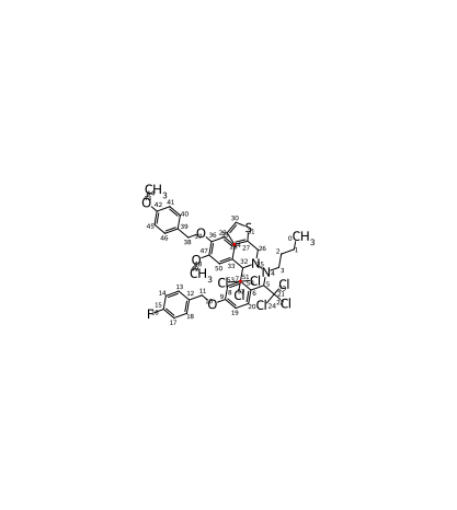 CCCCN(C(c1ccc(OCc2ccc(F)cc2)cc1)C(Cl)(Cl)Cl)N(Cc1cccs1)C(c1ccc(OCc2ccc(OC)cc2)c(OC)c1)C(Cl)(Cl)Cl